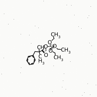 CCO[Si](OCC)(OCC)OC(=O)C(C)(C)Cc1ccccc1